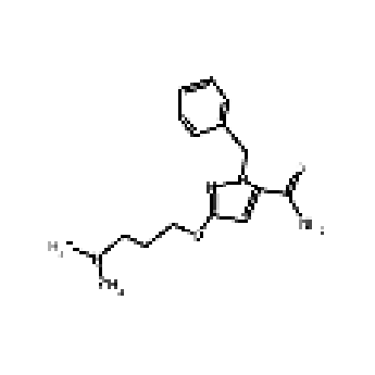 CN(C)CCCOc1cc(C(N)=O)n(Cc2ccccc2)n1